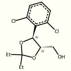 CCC1(CC)O[C@@H](CO)[C@H](c2c(Cl)cccc2Cl)O1